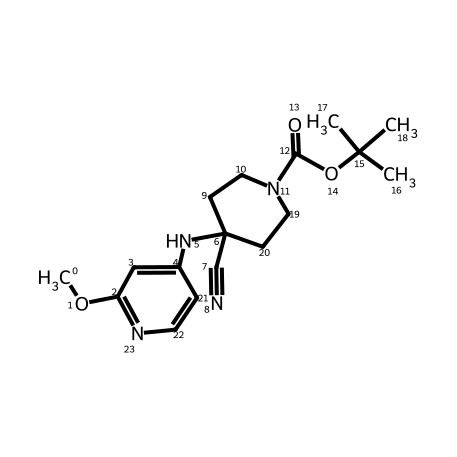 COc1cc(NC2(C#N)CCN(C(=O)OC(C)(C)C)CC2)ccn1